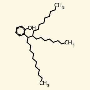 CCCCCCCCCCCC(c1ccccc1O)C(CCCCCCCC)CCCCCCCCC